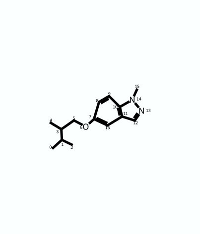 CC(C)C(C)COc1ccc2c(cnn2C)c1